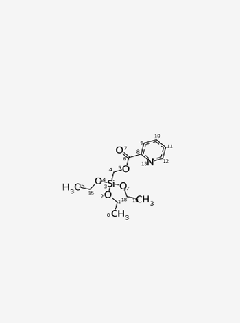 CCO[Si](COC(=O)c1ccccn1)(OCC)OCC